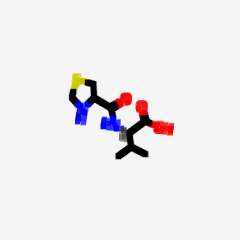 CC(C)[C@H](NC(=O)C1CSCN1)C(=O)O